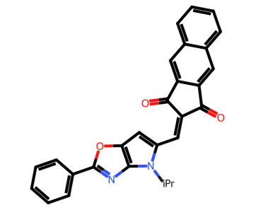 CC(C)n1c(C=C2C(=O)c3cc4ccccc4cc3C2=O)cc2oc(-c3ccccc3)nc21